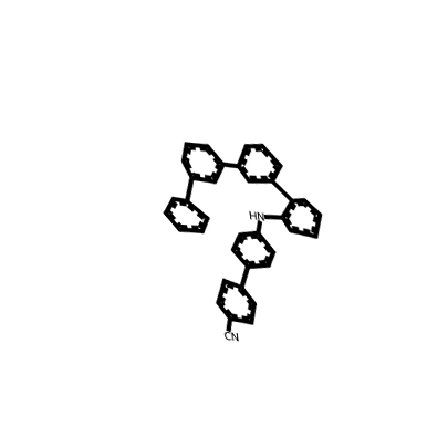 N#Cc1ccc(-c2ccc(Nc3ccccc3-c3cccc(-c4cccc(-c5ccccc5)c4)c3)cc2)cc1